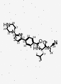 CC(C)C[C@H](NC(=O)c1ccc(-c2csc(N3CCNCC3)n2)cc1)C(=O)N(C)C#N